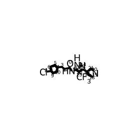 O=C(CCc1ccc(Cl)cc1)Nc1[nH]nc(-c2ccncc2)c1C(F)(F)F